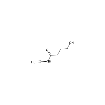 C#CNC(=O)CCCO